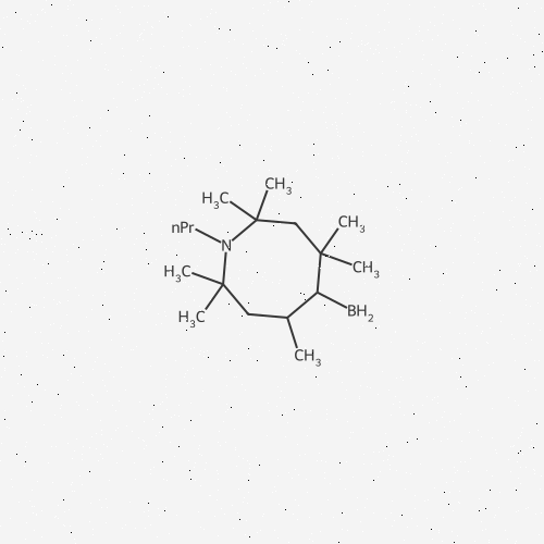 BC1C(C)CC(C)(C)N(CCC)C(C)(C)CC1(C)C